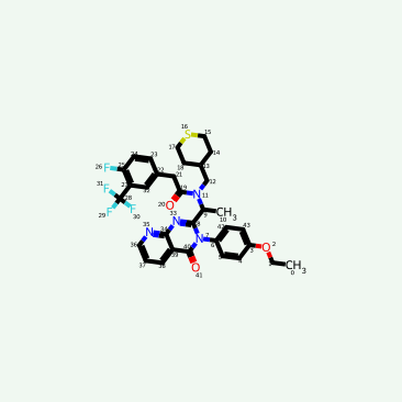 CCOc1ccc(-n2c(C(C)N(CC3CCSCC3)C(=O)Cc3ccc(F)c(C(F)(F)F)c3)nc3ncccc3c2=O)cc1